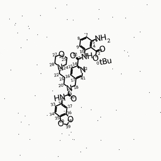 CC(C)(C)OC(=O)c1c(N)cccc1NC(=O)c1ccc(CN(CCCN2CCOCC2)C(=O)Nc2ccc3c(c2)OCO3)cn1